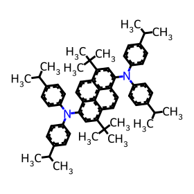 CC(C)c1ccc(N(c2ccc(C(C)C)cc2)c2cc(C(C)(C)C)c3ccc4c(N(c5ccc(C(C)C)cc5)c5ccc(C(C)C)cc5)cc(C(C)(C)C)c5ccc2c3c45)cc1